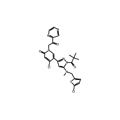 CN(Cc1ccc(Cl)s1)c1cc(-c2cn(CC(=O)c3cnccn3)c(=O)cc2Cl)nn1C(=O)C(C)(C)C